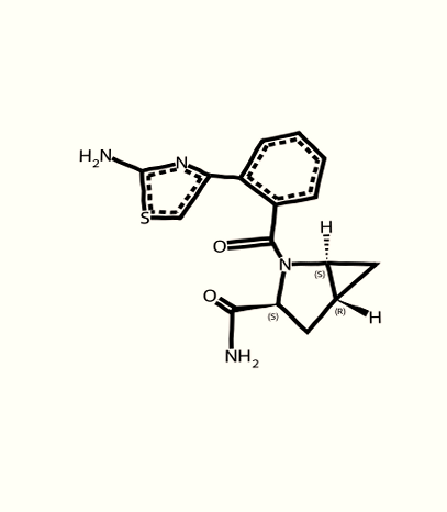 NC(=O)[C@@H]1C[C@H]2C[C@@H]2N1C(=O)c1ccccc1-c1csc(N)n1